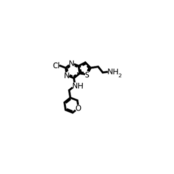 NCCc1cc2nc(Cl)nc(NCC3=CC=COC3)c2s1